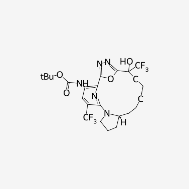 CC(C)(C)OC(=O)Nc1cc(C(F)(F)F)c2nc1-c1nnc(o1)C(O)(C(F)(F)F)CCCCC[C@@H]1CCCN21